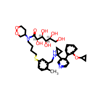 Cc1ccc(SCCCCN(C(=O)[C@@H](O)[C@@H](O)[C@H](O)[C@@H](O)CO)C2CCOOC2)cc1CNC1(c2cnccc2-c2ccccc2OC2CC2)CC1